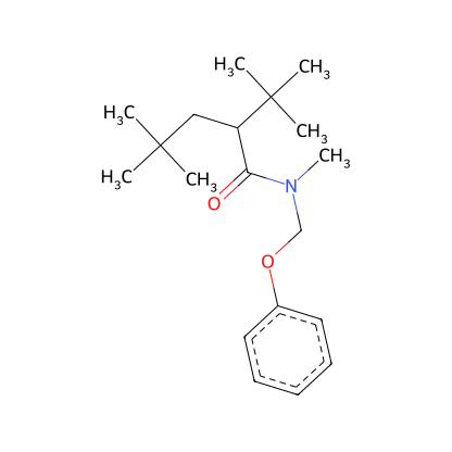 CN(COc1ccccc1)C(=O)C(CC(C)(C)C)C(C)(C)C